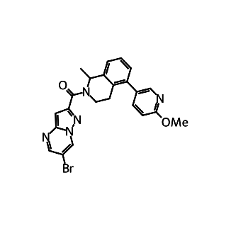 COc1ccc(-c2cccc3c2CCN(C(=O)c2cc4ncc(Br)cn4n2)C3C)cn1